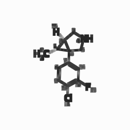 C[C@@H]1[C@H]2CNCC12c1ccc(Cl)c(F)c1